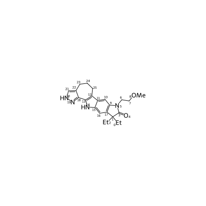 CCC1(CC)C(=O)N(CCOC)c2cc3c4c([nH]c3cc21)-c1n[nH]cc1CCC4